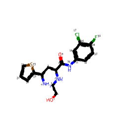 NC(CC(NCCO)C(=O)Nc1ccc(F)c(Cl)c1)c1cccs1